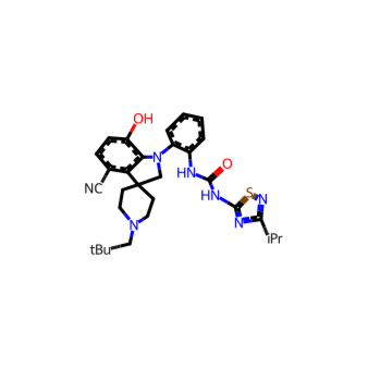 CC(C)c1nsc(NC(=O)Nc2ccccc2N2CC3(CCN(CC(C)(C)C)CC3)c3c(C#N)ccc(O)c32)n1